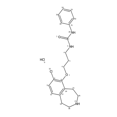 Cl.O=C(NCCCOc1c(Cl)ccc2c1CCNCC2)Nc1ccccc1